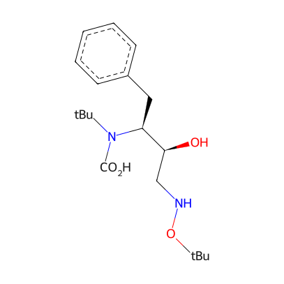 CC(C)(C)ONC[C@H](O)[C@H](Cc1ccccc1)N(C(=O)O)C(C)(C)C